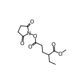 CCC(CCC(=O)ON1C(=O)CCC1=O)C(=O)OC